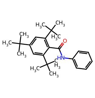 CC(C)(C)c1cc(C(C)(C)C)c(C(=O)Nc2ccccc2)c(C(C)(C)C)c1